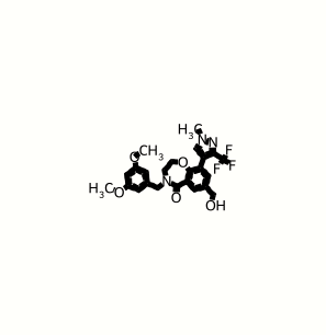 COc1cc(CN2CCOc3c(cc(CO)cc3-c3cn(C)nc3C(F)(F)F)C2=O)cc(OC)c1